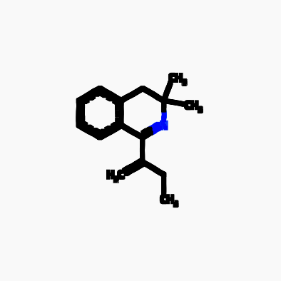 C=C(CC)C1=NC(C)(C)Cc2ccccc21